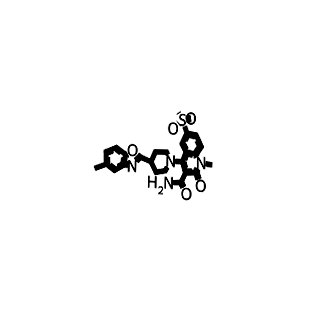 Cc1ccc2oc(C3CCN(c4c(C(N)=O)c(=O)n(C)c5ccc(S(C)(=O)=O)cc45)CC3)nc2c1